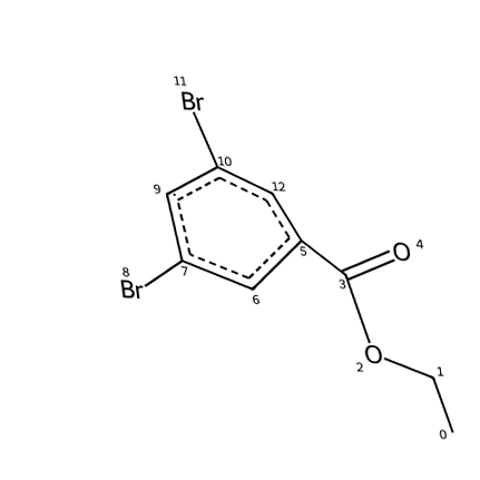 CCOC(=O)c1cc(Br)[c]c(Br)c1